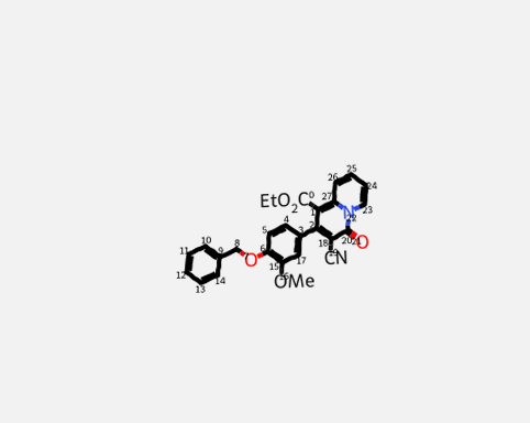 CCOC(=O)c1c(-c2ccc(OCc3ccccc3)c(OC)c2)c(C#N)c(=O)n2ccccc12